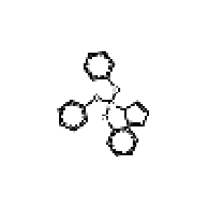 C1=C[CH]([Zr]([O]c2ccccc2)([O]c2ccccc2)[O]c2ccccc2)C=C1